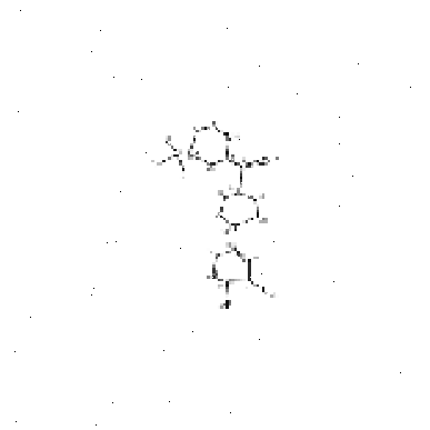 CC(C)(C)N1CCN[C@@H](C(=O)N2CCN(c3ccc(F)c(Cl)c3)CC2)C1